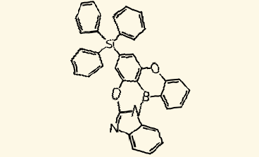 c1ccc([Si](c2ccccc2)(c2ccccc2)c2cc3c4c(c2)Oc2nc5ccccc5n2B4c2ccccc2O3)cc1